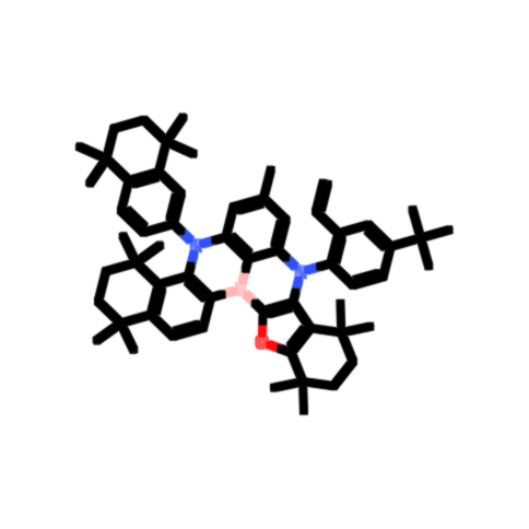 C=Cc1cc(C(C)(C)C)ccc1N1c2cc(C)cc3c2B(c2ccc4c(c2N3c2ccc3c(c2)C(C)(C)CCC3(C)C)C(C)(C)CCC4(C)C)c2oc3c(c21)C(C)(C)CCC3(C)C